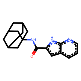 O=C(NC12CC3CC(CC(C3)C1)C2)c1cc2cccnc2[nH]1